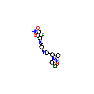 O=C1CCC(c2c(F)cc(N3CC4(CCC(CN5CCC(c6ccc7c(c6)-n6c(nc(=O)c8c(Cl)cccc86)C76CCCCC6)CC5)CC4)C3)cc2F)C(=O)N1